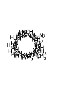 C/C=C/C[C@@H](C)[C@@H](O)[C@H]1C(=O)N[C@@H](CC)C(=O)N(C)[C@H](CSCCCN2CCCCC2)C(=O)N(C)[C@@H](CC(C)(C)O)C(=O)N[C@@H](C(C)C)C(=O)N(C)[C@@H](CC(C)C)C(=O)N[C@@H](C)C(=O)N[C@H](C)C(=O)N(C)[C@@H](CC(C)C)C(=O)N(C)[C@@H](CC(C)C)C(=O)N(C)[C@@H](C(C)C)C(=O)N1C